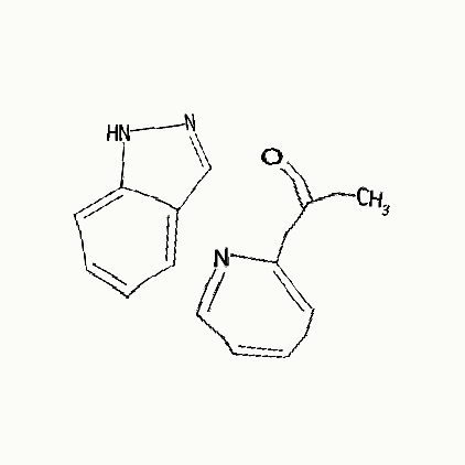 CC(=O)c1ccccn1.c1ccc2[nH]ncc2c1